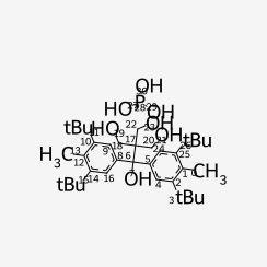 Cc1c(C(C)(C)C)cc(C(O)(c2cc(C(C)(C)C)c(C)c(C(C)(C)C)c2)C(CO)(CO)CO)cc1C(C)(C)C.OP(O)O